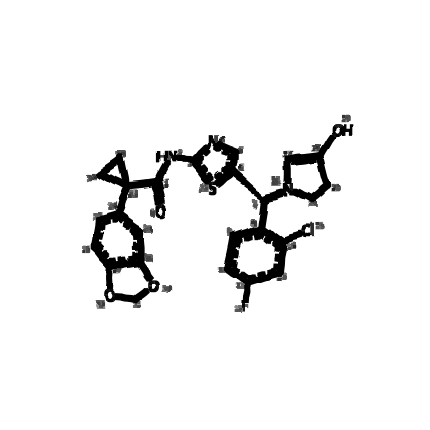 O=C(Nc1ncc([C@H](c2ccc(F)cc2Cl)N2C=C(O)CC2)s1)C1(c2ccc3c(c2)OCO3)CC1